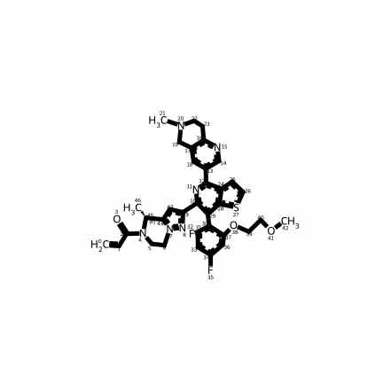 C=CC(=O)N1CCn2nc(-c3nc(-c4cnc5c(c4)CN(C)CC5)c4ccsc4c3-c3c(F)cc(F)cc3OCCOC)cc2[C@H]1C